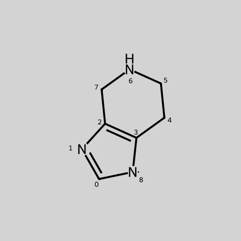 C1=NC2=C(CCNC2)[N]1